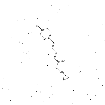 C1CC1.COC(=O)C=CC=Cc1ccc(Cl)cc1